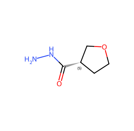 NNC(=O)[C@H]1CCOC1